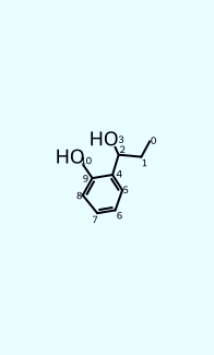 CCC(O)c1ccccc1O